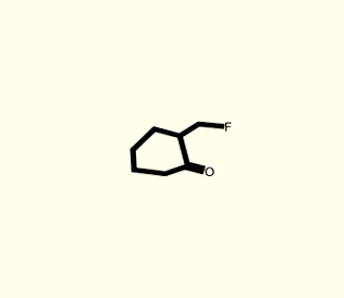 O=C1CCCCC1CF